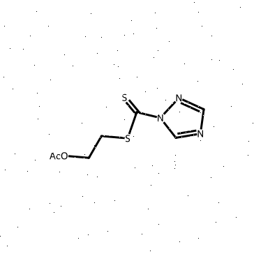 CC(=O)OCCSC(=S)n1cncn1